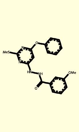 COc1cccc(C(=O)NNc2cc(Oc3ccccc3)nc(SC)n2)c1